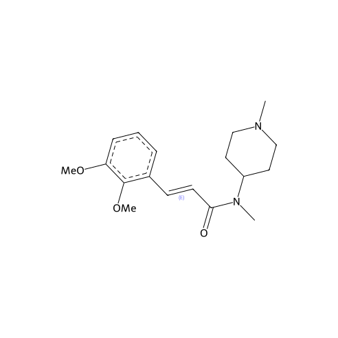 COc1cccc(/C=C/C(=O)N(C)C2CCN(C)CC2)c1OC